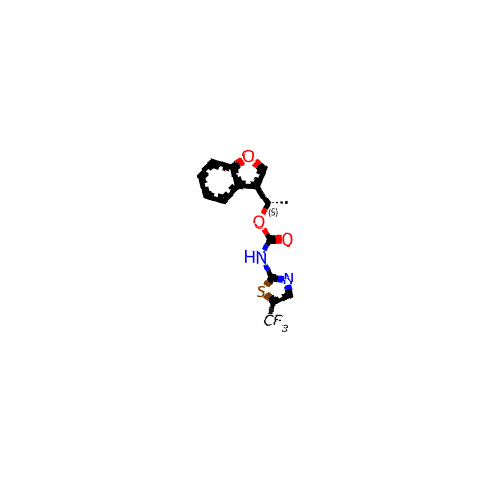 C[C@H](OC(=O)Nc1ncc(C(F)(F)F)s1)c1coc2ccccc12